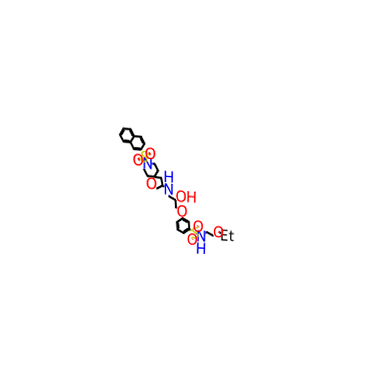 CCOCCNS(=O)(=O)c1cccc(OCC(O)CNC2COC3(CCN(S(=O)(=O)c4ccc5ccccc5c4)CC3)C2)c1